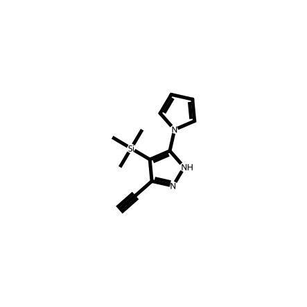 C#Cc1n[nH]c(-n2cccc2)c1[Si](C)(C)C